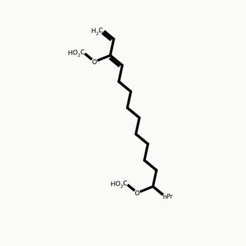 C=CC(=CCCCCCCCCC(CCC)OC(=O)O)OC(=O)O